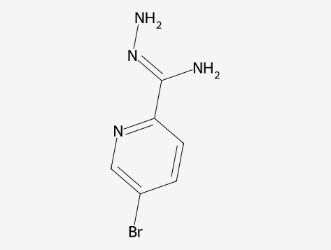 NN=C(N)c1ccc(Br)cn1